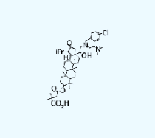 CC(C)C1=C2[C@H]3CCC4[C@@]5(C)CC[C@H](OC(=O)CC(C)(C)C(=O)O)C(C)(C)C5CC[C@@]4(C)[C@]3(C)CC[C@@]2([C@H](O)CN(CCN(C)C)Cc2ccc(Cl)cc2)CC1=O